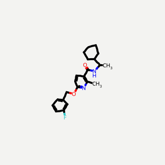 Cc1nc(OCc2cccc(F)c2)ccc1C(=O)NC(C)C1CCCCC1